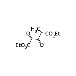 CCOC(=O)C(=O)C(=O)C(C)C(=O)OCC